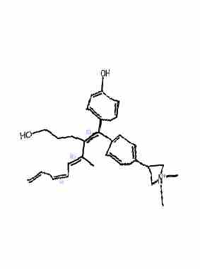 C=C\C=C/C=C(C)/C(CCCO)=C(/c1ccc(O)cc1)c1ccc(C2C[N+](C)(C)C2)cc1